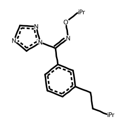 CC(C)CCc1cccc(C(=NOC(C)C)n2cncn2)c1